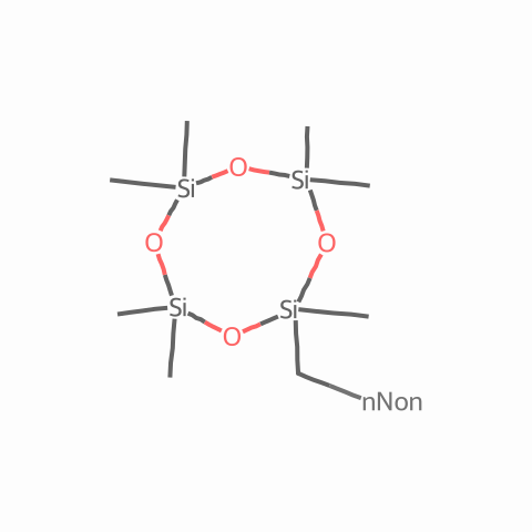 [CH2]CCCCCCCCC[Si]1(C)O[Si](C)(C)O[Si](C)(C)O[Si](C)(C)O1